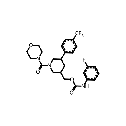 O=C(Nc1cccc(F)c1)OCC1CC(c2ccc(C(F)(F)F)cc2)CN(C(=O)N2CCOCC2)C1